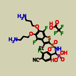 CCc1c(S(=O)(=O)NC(c2ccc(C#N)c(F)c2)P(=O)(O)O)sc2c(F)c(OCCCN)c(OCCCN)c(F)c12.O=C(O)C(F)(F)F